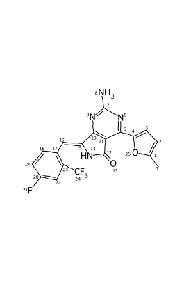 Cc1ccc(-c2nc(N)nc3c2C(=O)NC3=Cc2ccc(F)cc2C(F)(F)F)o1